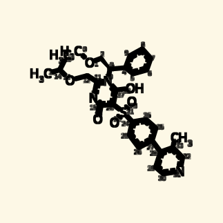 COC[C@@H](c1ccccc1)n1c(COC(C)C)nc(=O)c(S(=O)(=O)c2ccc(-c3ccncc3C)cc2)c1O